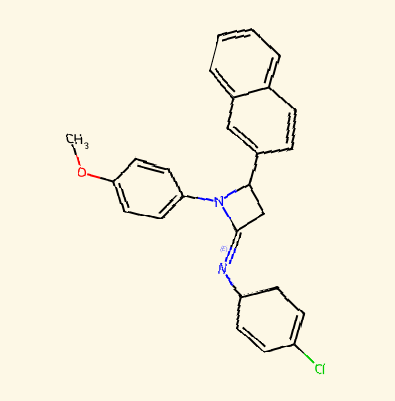 COc1ccc(N2/C(=N/C3C=CC(Cl)=CC3)CC2c2ccc3ccccc3c2)cc1